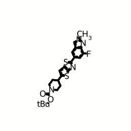 Cn1cc2cc(-c3nc4sc(C5CCN(C(=O)OC(C)(C)C)CC5)cc4s3)cc(F)c2n1